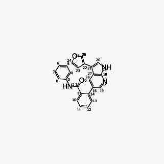 O=C(Nc1ccccc1)c1ccccc1-c1cnc2[nH]cc(-c3ccoc3)c2c1